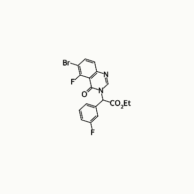 CCOC(=O)C(c1cccc(F)c1)n1cnc2ccc(Br)c(F)c2c1=O